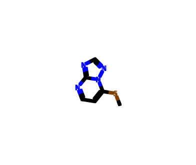 CSc1ccnc2ncnn12